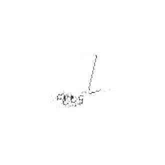 CCCCCCCC/C=C\CCCCCCCCCCCCCCCC(=O)N[C@@H](CO[C@@H]1OC(CO)[C@@H](O[C@@H]2OC(CO)[C@H](O)[C@H](O[C@@H]3OC(CO)[C@@H](O[C@@H]4OC(CO)[C@H](O)[C@H](O)C4O)[C@H](O)C3NC(C)=O)C2O)[C@H](O)C1O)[C@H](O)/C=C/CCCCCCCCCCCCC